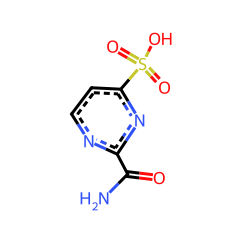 NC(=O)c1nccc(S(=O)(=O)O)n1